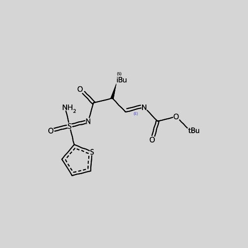 CC[C@H](C)C(/C=N/C(=O)OC(C)(C)C)C(=O)N=S(N)(=O)c1cccs1